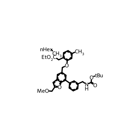 CCCCCCC.CCOC(=O)Cc1ccc(C)cc1OCc1cc(-c2cccc(CNC(=O)OC(C)(C)C)c2)c2oc(COC)cc2c1